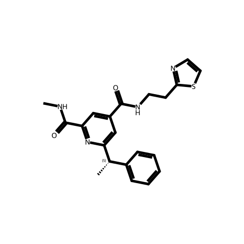 CNC(=O)c1cc(C(=O)NCCc2nccs2)cc([C@@H](C)c2ccccc2)n1